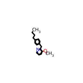 CCCCc1ccc(Cc2ncccc2OC)cc1